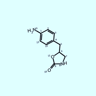 Nc1ccc(CC2CNC(=O)O2)cc1